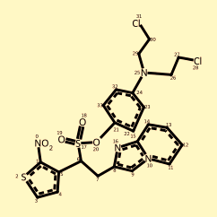 O=[N+]([O-])c1sccc1C(Cc1cn2ccccc2n1)S(=O)(=O)Oc1ccc(N(CCCl)CCCl)cc1